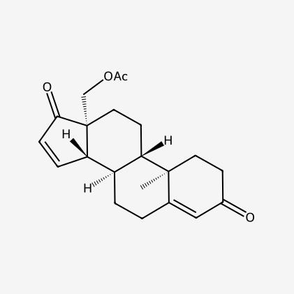 CC(=O)OC[C@]12CC[C@H]3[C@@H](CCC4=CC(=O)CC[C@@]43C)[C@@H]1C=CC2=O